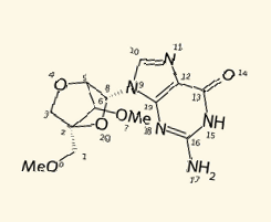 COC[C@]12COC(C1OC)[C@H](n1cnc3c(=O)[nH]c(N)nc31)O2